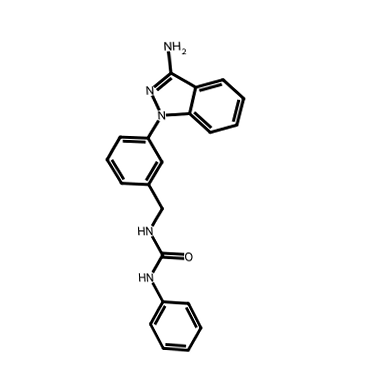 Nc1nn(-c2cccc(CNC(=O)Nc3ccccc3)c2)c2ccccc12